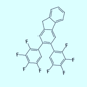 Fc1cc(-c2[c]c3c(cc2-c2cc(F)c(F)c(F)c2F)-c2ccccc2C3)c(F)c(F)c1F